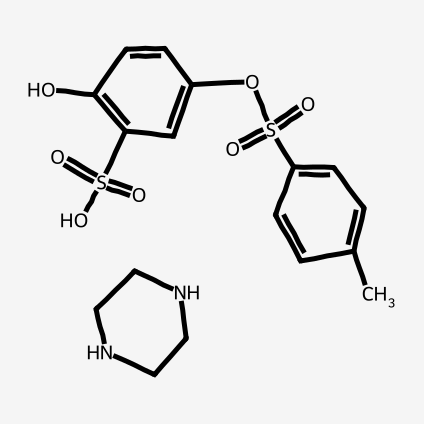 C1CNCCN1.Cc1ccc(S(=O)(=O)Oc2ccc(O)c(S(=O)(=O)O)c2)cc1